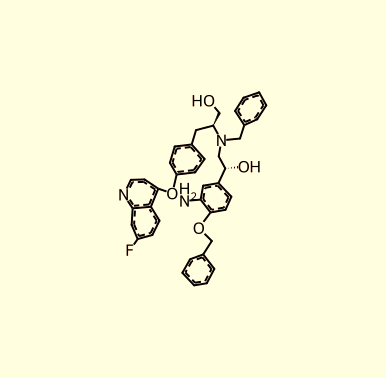 Nc1cc([C@@H](O)CN(Cc2ccccc2)[C@H](CO)Cc2ccc(Oc3ccnc4cc(F)ccc34)cc2)ccc1OCc1ccccc1